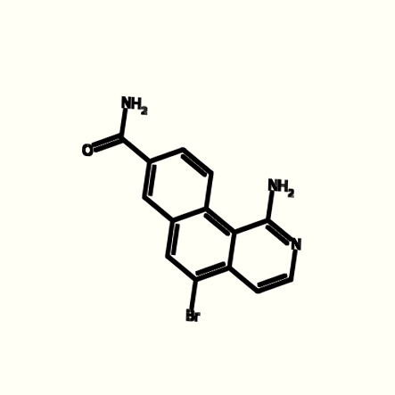 NC(=O)c1ccc2c(c1)cc(Br)c1ccnc(N)c12